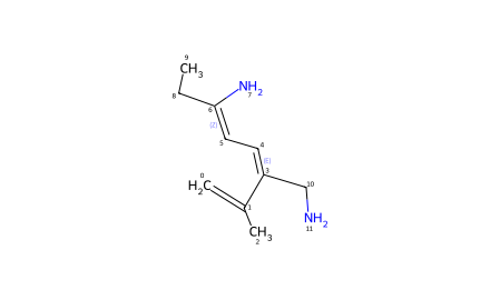 C=C(C)/C(=C\C=C(/N)CC)CN